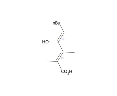 CCCC/C=C(O)/C(C)=C(\C)C(=O)O